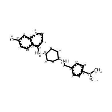 CN(C)c1ccc(CN[C@H]2CC[C@@H](Nc3ccnc4cc(Cl)ccc34)CC2)cc1